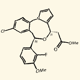 COC(=O)C[C@@H]1O[C@@H](c2cccc(OC)c2F)c2cc(Cl)ccc2-n2cccc21